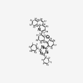 c1ccc(-c2nc(-c3ccccc3)nc(-c3cccc4oc5c(-c6ccc7ccc8ccccc8c7n6)cccc5c34)n2)cc1